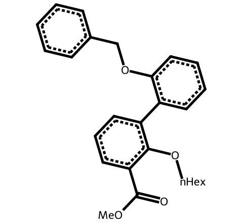 CCCCCCOc1c(C(=O)OC)cccc1-c1ccccc1OCc1ccccc1